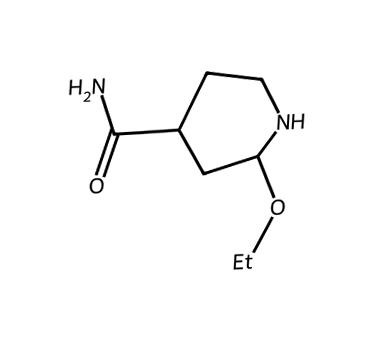 CCOC1CC(C(N)=O)CCN1